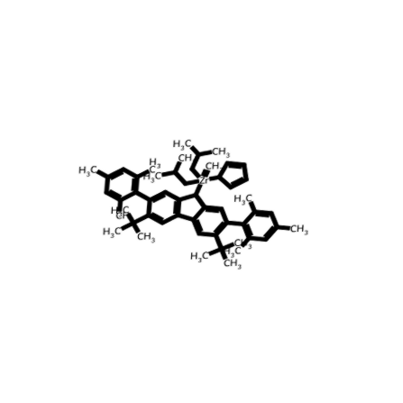 [CH2]=[Zr]([CH2]C(C)C)([CH2]C(C)C)([CH]1C=CC=C1)[CH]1c2cc(-c3c(C)cc(C)cc3C)c(C(C)(C)C)cc2-c2cc(C(C)(C)C)c(-c3c(C)cc(C)cc3C)cc21